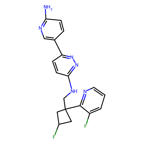 Nc1ccc(-c2ccc(NCC3(c4ncccc4F)CC(F)C3)nn2)cn1